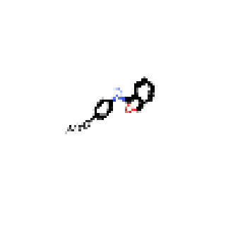 COc1ccc(Nc2occ3ccccc23)cc1